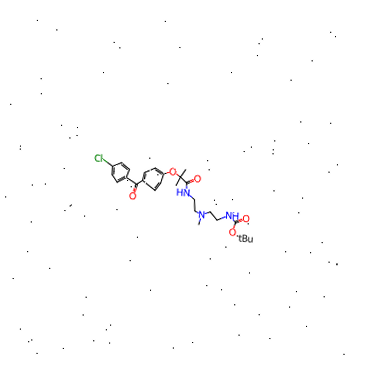 CN(CCNC(=O)OC(C)(C)C)CCNC(=O)C(C)(C)Oc1ccc(C(=O)c2ccc(Cl)cc2)cc1